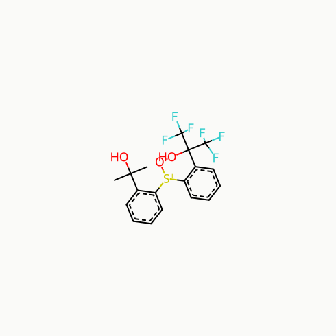 CC(C)(O)c1ccccc1[S+]([O-])c1ccccc1C(O)(C(F)(F)F)C(F)(F)F